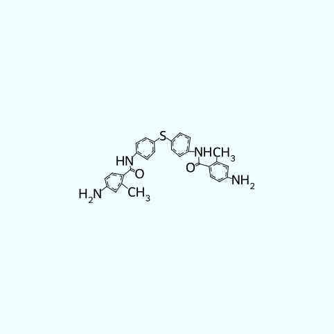 Cc1cc(N)ccc1C(=O)Nc1ccc(Sc2ccc(NC(=O)c3ccc(N)cc3C)cc2)cc1